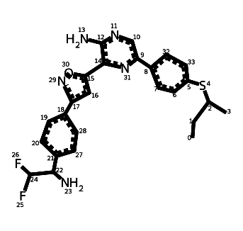 CCC(C)Sc1ccc(-c2cnc(N)c(-c3cc(-c4ccc(C(N)C(F)F)cc4)no3)n2)cc1